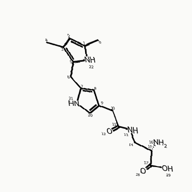 Cc1cc(C)c(Cc2cc(CC(=O)NC[C@H](N)C(=O)O)c[nH]2)[nH]1